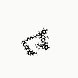 CN[C@@H](C)C(=O)N[C@H](C(=O)N1CCN(C(=O)c2c(C(=O)NCCOCCOCCOc3cc(CN4CCC(Oc5ccnc6cc(C)sc56)CC4)on3)c3cc(F)c(F)cc3n2C)CC1)C1CCCCC1